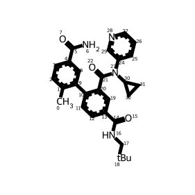 Cc1ccc(C(N)=O)cc1-c1ccc(C(=O)NCC(C)(C)C)cc1C(=O)N(c1cccnc1)C1CC1